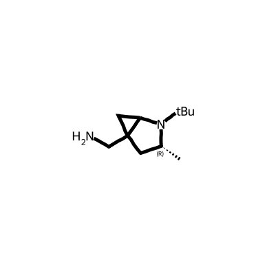 C[C@@H]1CC2(CN)CC2N1C(C)(C)C